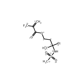 C=C(C(=O)OCCC(C)(CC)NS(C)(=O)=O)C(F)(F)F